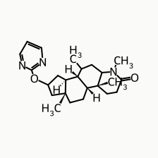 CC1CC2N(C)C(=O)CC[C@]2(C)[C@@H]2CC[C@]3(C)CC(Oc4ncccn4)C[C@H]3[C@H]12